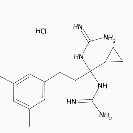 Cc1cc(C)cc(CCC(NC(=N)N)(NC(=N)N)C2CC2)c1.Cl